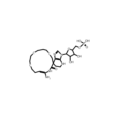 N/C1=C\CCCCCCCCCCCC2(CCNc3c2ncn3C2OC(COP(=O)(O)O)C(O)C2O)C(=O)N1